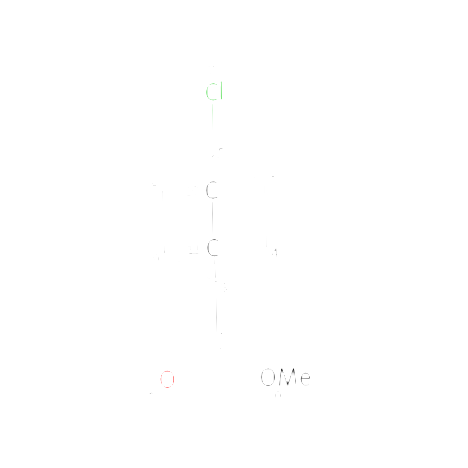 COC(=O)C12CCC(Cl)(CC1)CC2